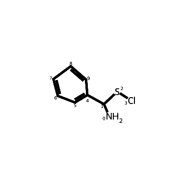 NC(SCl)c1ccccc1